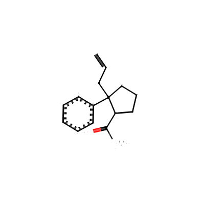 C=CCC1(c2ccccc2)CCCC1C(=O)OC